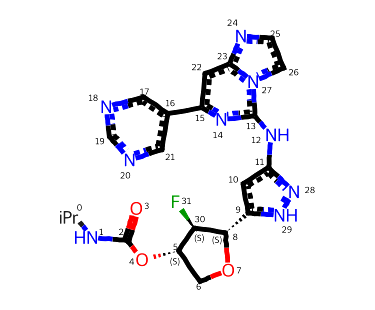 CC(C)NC(=O)O[C@H]1CO[C@@H](c2cc(Nc3nc(-c4cncnc4)cc4nccn34)n[nH]2)[C@@H]1F